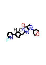 Cn1c(Cc2ccc(-c3cccc(F)n3)cc2)nc2c(cnn2C2CCOCC2)c1=O